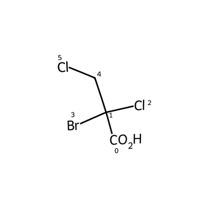 O=C(O)C(Cl)(Br)CCl